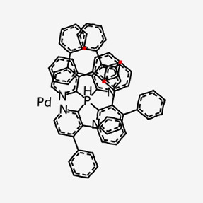 [Pd].c1ccc(-c2ccnc([PH](c3nccc(-c4ccccc4)c3-c3ccccc3)(c3nccc(-c4ccccc4)c3-c3ccccc3)c3nccc(-c4ccccc4)c3-c3ccccc3)c2-c2ccccc2)cc1